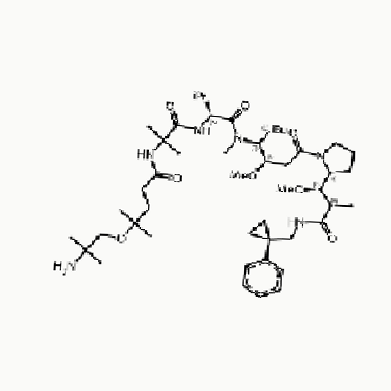 CC[C@H](C)[C@@H]([C@@H](CC(=O)N1CCC[C@H]1[C@H](OC)[C@@H](C)C(=O)NCC1(c2ccccc2)CC1)OC)N(C)C(=O)[C@@H](NC(=O)C(C)(C)NC(=O)CCC(C)(C)OCC(C)(C)N)C(C)C